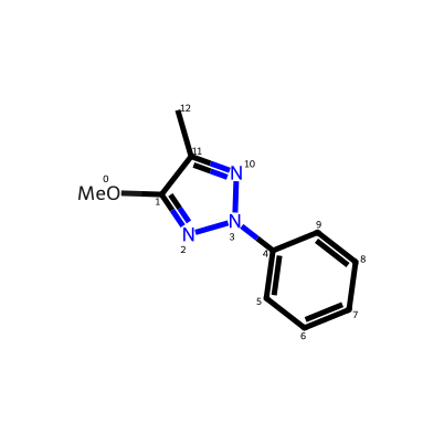 COc1nn(-c2ccccc2)nc1C